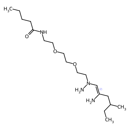 CCCCC(=O)NCCOCCOCCN(N)/C=C(\N)CC(C)CC